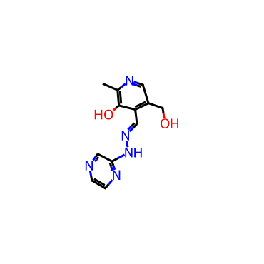 Cc1ncc(CO)c(C=NNc2cnccn2)c1O